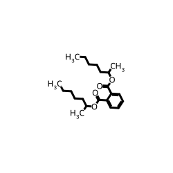 CCCCCC(C)OC(=O)c1ccccc1C(=O)OC(C)CCCCC